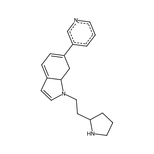 C1=CN(CCC2CCCN2)C2CC(c3cccnc3)=CC=C12